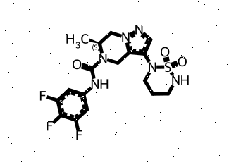 C[C@H]1Cn2ncc(N3CCCNS3(=O)=O)c2CN1C(=O)Nc1cc(F)c(F)c(F)c1